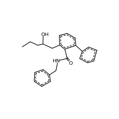 CCCC(O)Cc1cccc(-c2ccccc2)c1C(=O)NCc1ccccc1